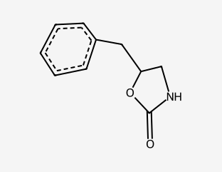 O=C1NCC(Cc2ccccc2)O1